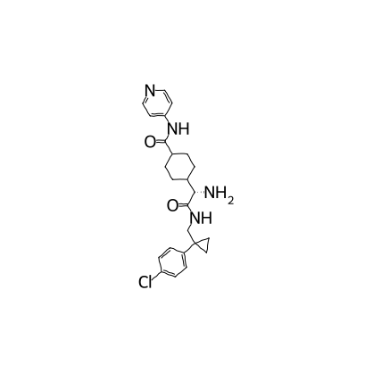 N[C@H](C(=O)NCC1(c2ccc(Cl)cc2)CC1)C1CCC(C(=O)Nc2ccncc2)CC1